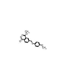 COC(=O)c1cc(CSc2ccc(OC)cc2)ccc1[N+](=O)[O-]